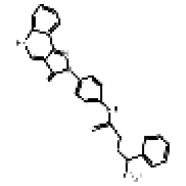 O=C(CCC(C(=O)O)c1ccccc1)Nc1ccc(-n2nc3c4ccccc4[nH]cc-3c2=O)cc1